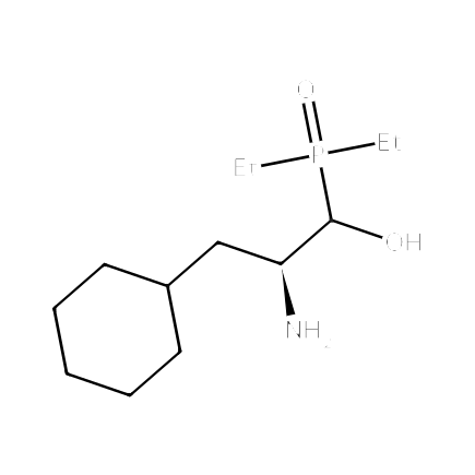 CCP(=O)(CC)C(O)[C@@H](N)CC1CCCCC1